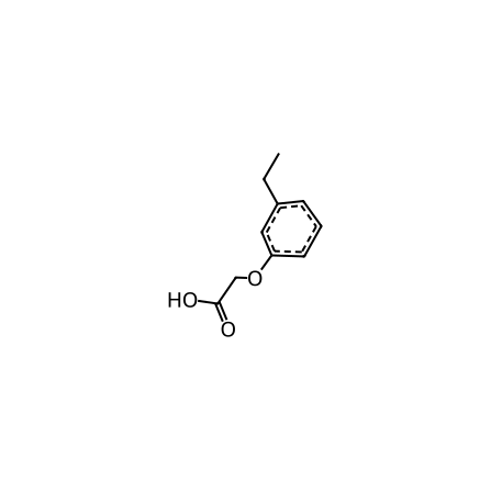 CCc1cccc(OCC(=O)O)c1